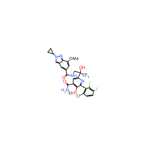 CCOc1c(C(N)=O)cc([C@@](O)(CNC(=O)c2cc(OC)c3nn(C4CC4)cc3c2)C(F)(F)F)nc1-c1c(Cl)ccc(F)c1F